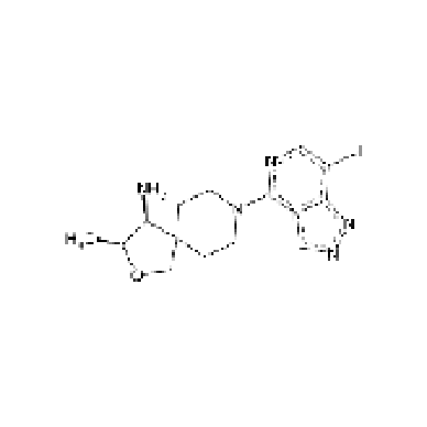 C[C@@H]1OCC2(CCN(c3ncc(I)c4nncn34)CC2)[C@@H]1N